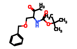 CC(=O)C(COCc1ccccc1)NC(=O)OC(C)(C)C